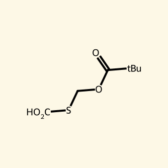 CC(C)(C)C(=O)OCSC(=O)O